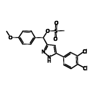 COc1ccc(C(OS(C)(=O)=O)c2cc(-c3ccc(Cl)c(Cl)c3)[nH]n2)cc1